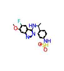 COc1cc2ncnc(NC(C)c3ccc(N[SH](=O)=O)cc3)c2cc1F